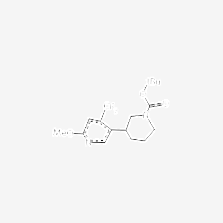 COc1cc(C(F)(F)F)c(C2CCCN(C(=O)OC(C)(C)C)C2)cn1